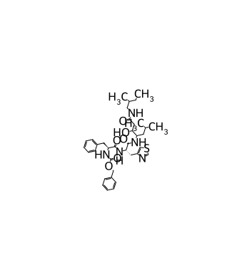 CCC(C)CNC(=O)CC(O)C(CC(C)C)NC(=O)[C@H](Cc1cscn1)NC(=O)[C@H](Cc1ccccc1)NC(=O)OCc1ccccc1